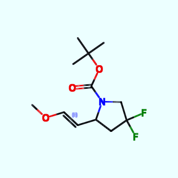 CO/C=C/C1CC(F)(F)CN1C(=O)OC(C)(C)C